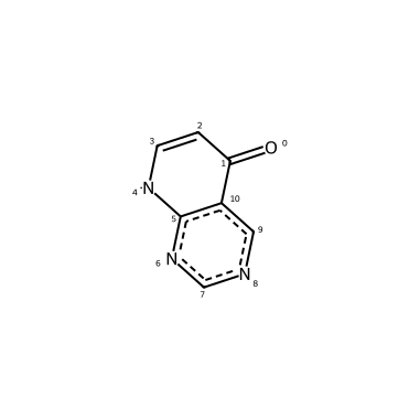 O=C1C=C[N]c2ncncc21